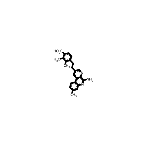 Cc1ccc2c(c1)nc(N)c1ncc(CCc3ccc(C(=O)O)c(C)c3C)cc12